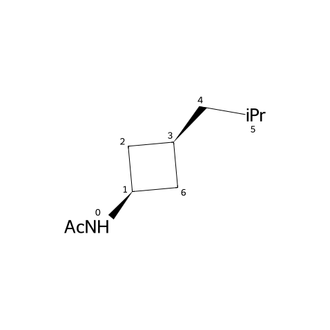 CC(=O)N[C@H]1C[C@@H](CC(C)C)C1